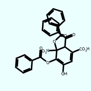 O=C(O)C1=CC(O)=C(OC(=O)c2ccccc2)C(OC(=O)c2ccccc2)([N+](=O)[O-])C1C(=O)c1ccccc1